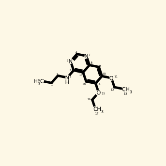 CCCNc1ncnc2cc(OCC)c(OCC)cc12